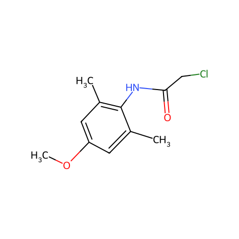 COc1cc(C)c(NC(=O)CCl)c(C)c1